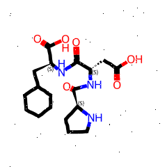 O=C(O)C[C@H](NC(=O)[C@@H]1CCCN1)C(=O)N[C@@H](CC1CCCCC1)C(=O)O